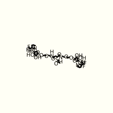 CC(=O)CSC(CC(=O)NCCOCCOC[C@H]1OC[C@H](Nc2ncccc2C(F)(F)F)[C@@H](O)[C@H]1O)C(=O)NCCOCCOC[C@H]1OC[C@H](Nc2ncccc2C(F)(F)F)[C@@H](O)[C@H]1O